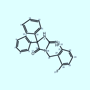 N=C1NC(c2ccccc2)(c2ccccc2)C(=O)N1Cc1c(F)cccc1F